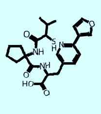 CC(C)C(S)C(=O)NC1(C(=O)NC(Cc2ccc(-c3ccoc3)nc2)C(=O)O)CCCC1